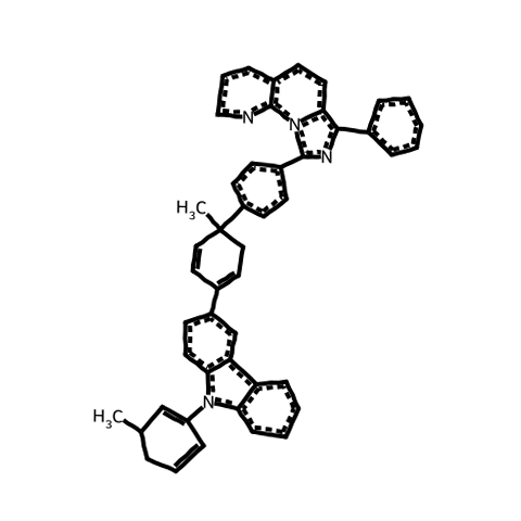 CC1C=C(n2c3ccccc3c3cc(C4=CCC(C)(c5ccc(-c6nc(-c7ccccc7)c7ccc8cccnc8n67)cc5)C=C4)ccc32)C=CC1